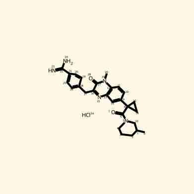 CC1CCCN(C(=O)C2(c3ccc4c(c3)nc(Cc3ccc(C(=N)N)cc3)c(=O)n4C)CC2)C1.Cl